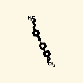 CCCCCc1ccc(C#C[C@H]2CC[C@H](c3ccc(OCC)cc3)CC2)cc1